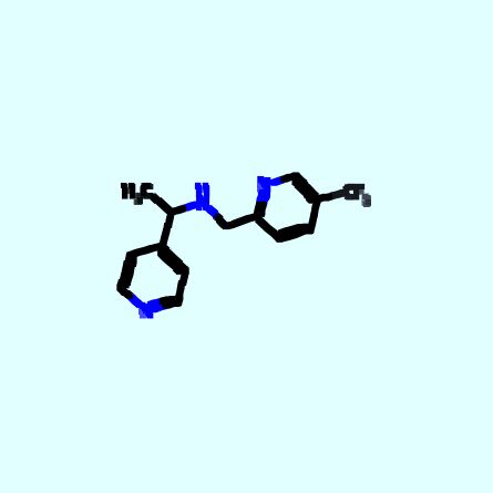 CC(NCc1ccc(C(F)(F)F)cn1)c1ccncc1